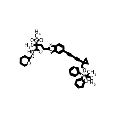 CC(C)(C)[Si](OCC1(C#CC#Cc2ccc3nc(CCC(C)(C(=O)NOC4CCCCO4)S(C)(=O)=O)sc3c2)CC1)(c1ccccc1)c1ccccc1